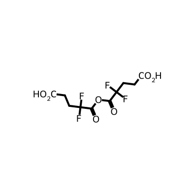 O=C(O)CCC(F)(F)C(=O)OC(=O)C(F)(F)CCC(=O)O